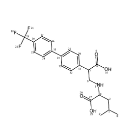 CC(C)CC(NCC(C(=O)O)c1ccc(-c2ccc(C(F)(F)F)cc2)cc1)C(=O)O